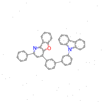 c1ccc(-c2cc(-c3cccc(-c4cccc(-n5c6ccccc6c6ccccc65)c4)c3)c3oc4ccccc4c3n2)cc1